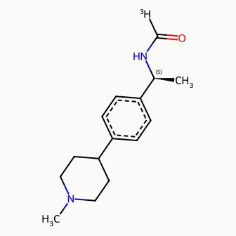 [3H]C(=O)N[C@@H](C)c1ccc(C2CCN(C)CC2)cc1